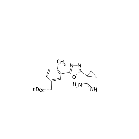 CCCCCCCCCCCc1ccc(C)c(-c2nnc(C3(C(=N)N)CC3)o2)c1